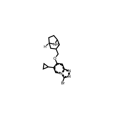 Brc1nnc2cc(OCC3CC4CC[C@@H](C3)N4)c(C3CC3)cn12